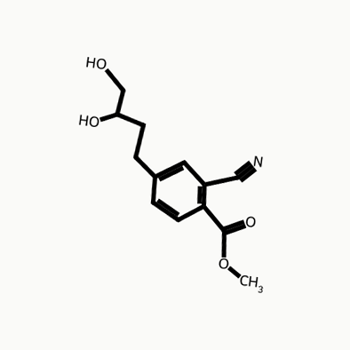 COC(=O)c1ccc(CCC(O)CO)cc1C#N